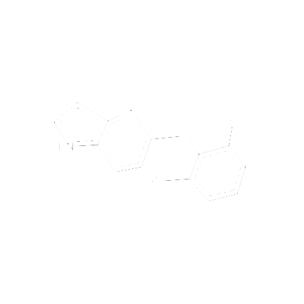 Clc1[c]ccc(Cl)c1Oc1ccc2[nH]ccc2c1